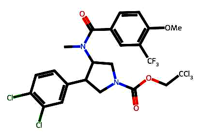 COc1ccc(C(=O)N(C)C2CN(C(=O)OCC(Cl)(Cl)Cl)CC2c2ccc(Cl)c(Cl)c2)cc1C(F)(F)F